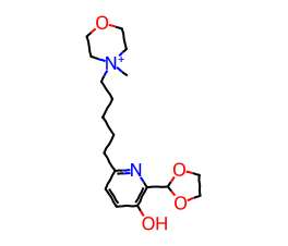 C[N+]1(CCCCCc2ccc(O)c(C3OCCO3)n2)CCOCC1